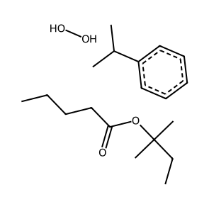 CC(C)c1ccccc1.CCCCC(=O)OC(C)(C)CC.OO